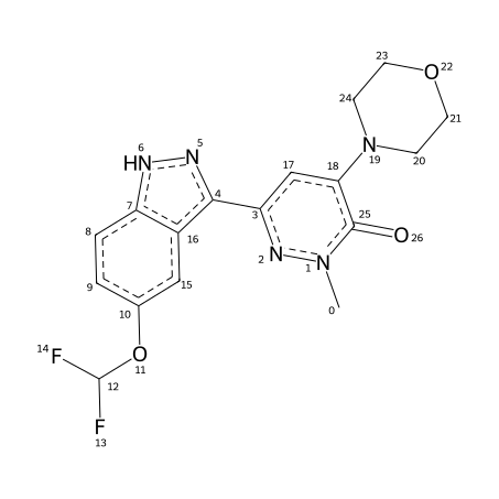 Cn1nc(-c2n[nH]c3ccc(OC(F)F)cc23)cc(N2CCOCC2)c1=O